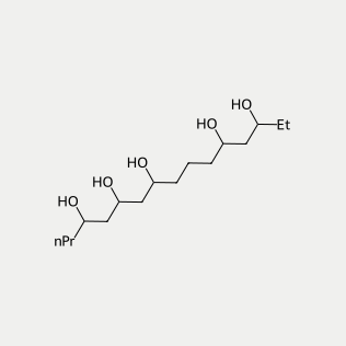 CCCC(O)CC(O)CC(O)CCCC(O)CC(O)CC